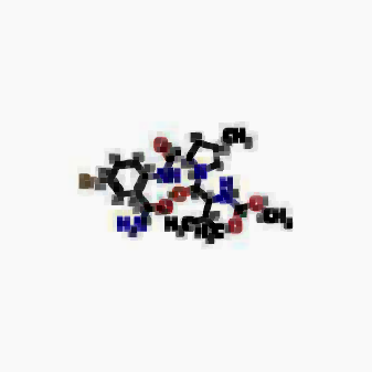 COC(=O)N[C@H](C(=O)N1C[C@@H](C)C[C@H]1C(=O)Nc1ccc(Br)cc1C(N)=O)C(C)C